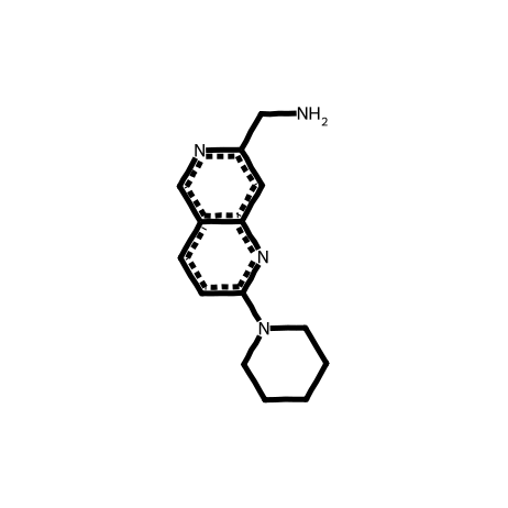 NCc1cc2nc(N3CCCCC3)ccc2cn1